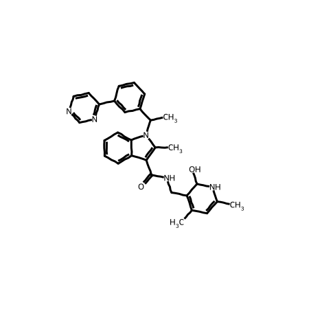 CC1=CC(C)=C(CNC(=O)c2c(C)n(C(C)c3cccc(-c4ccncn4)c3)c3ccccc23)C(O)N1